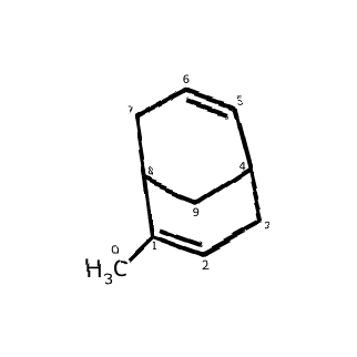 CC1=CCC2C=CCC1C2